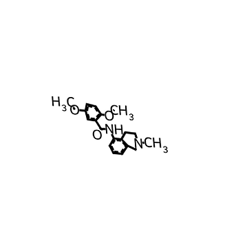 COc1ccc(OC)c(C(=O)Nc2cccc3c2CCN(C)C3)c1